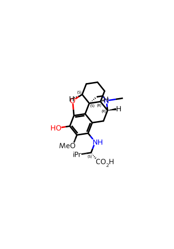 COc1c(O)c2c3c(c1N[C@H](C(=O)O)C(C)C)C[C@@H]1[C@@H]4CCC[C@H](O2)[C@]34CCN1C